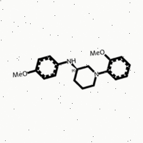 COc1ccc(N[C@@H]2CCCN(c3ccc[c]c3OC)C2)cc1